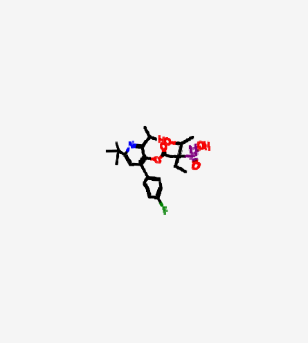 CCC(C(=O)Oc1c(-c2ccc(F)cc2)cc(C(C)(C)C)nc1C(C)C)(C(C)O)[PH](=O)O